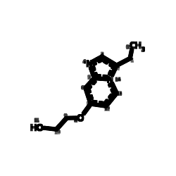 CCc1cnc2cc(OCCO)ccn12